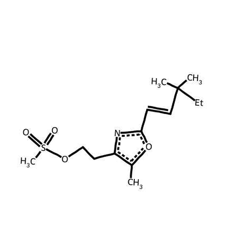 CCC(C)(C)C=Cc1nc(CCOS(C)(=O)=O)c(C)o1